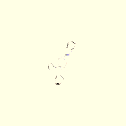 c1ccc2c(c1)NC1(CCN(c3nc4ccccc4s3)CC1)c1cccn1-2